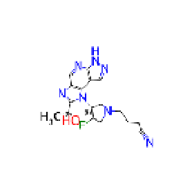 C[C@@H](O)c1nc2cnc3[nH]ncc3c2n1[C@@H]1CN(CCCC#N)CC1F